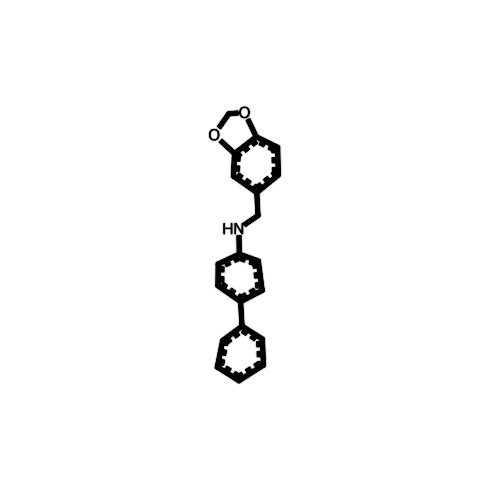 c1ccc(-c2ccc(NCc3ccc4c(c3)OCO4)cc2)cc1